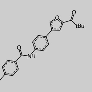 Cc1ccc(C(=O)Nc2ccc(-c3coc(C(=O)C(C)(C)C)c3)cc2)cc1